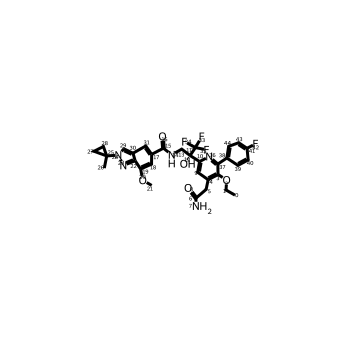 CCOc1c(CC(N)=O)cc([C@@](O)(CNC(=O)c2cc(OC)c3nn(C4(C)CC4)cc3c2)C(F)(F)F)nc1-c1ccc(F)cc1